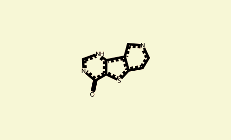 O=c1nc[nH]c2c1sc1ccncc12